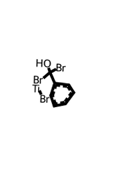 OC(Br)(Br)c1ccccc1.[Ti][Br]